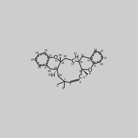 CC1(C)/C=C\C[C@@]2(C)Oc3ccccc3C[C@@H]2CC[C@@]2(C)Oc3ccccc3C[C@@H]2C1